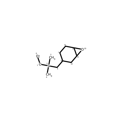 CCO[Si](C)(C)CC1CCC2OC2C1